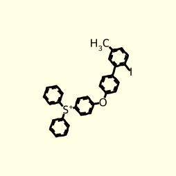 Cc1ccc(I)c(-c2ccc(Oc3ccc([S+](c4ccccc4)c4ccccc4)cc3)cc2)c1